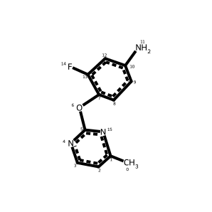 Cc1ccnc(Oc2ccc(N)cc2F)n1